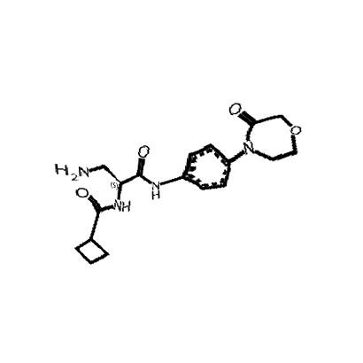 NC[C@H](NC(=O)C1CCC1)C(=O)Nc1ccc(N2CCOCC2=O)cc1